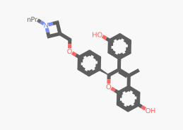 CCCN1CC(COc2ccc([C@@H]3Oc4ccc(O)cc4C(C)=C3c3cccc(O)c3)cc2)C1